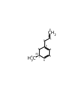 C=CCC1=CC=[C][C@@H](C)C1